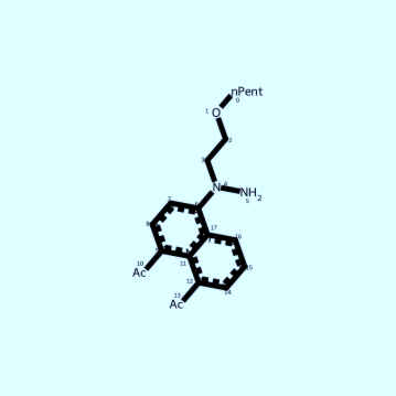 CCCCCOCCN(N)c1ccc(C(C)=O)c2c(C(C)=O)cccc12